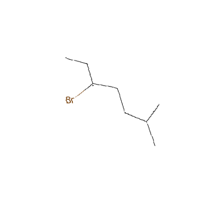 CC[C](Br)CCC(C)C